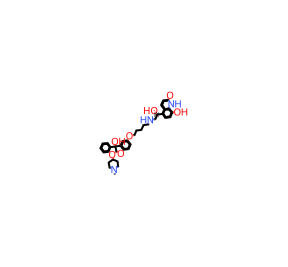 CN1CCC(OC(=O)C(O)(c2ccccc2)c2cccc(OCCCCCNC[C@H](O)c3ccc(O)c4[nH]c(=O)ccc34)c2)CC1